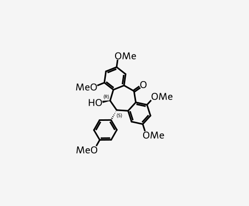 COc1ccc([C@H]2c3cc(OC)cc(OC)c3C(=O)c3cc(OC)cc(OC)c3[C@@H]2O)cc1